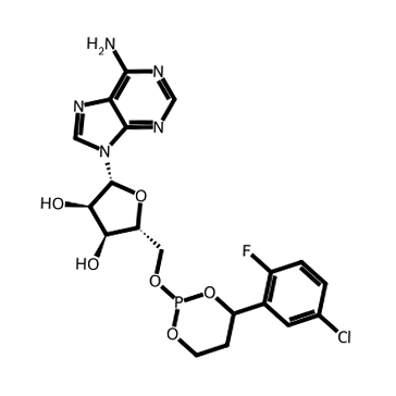 Nc1ncnc2c1ncn2[C@@H]1O[C@H](COP2OCCC(c3cc(Cl)ccc3F)O2)[C@@H](O)[C@H]1O